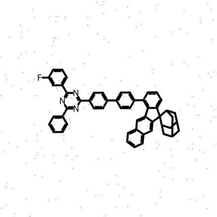 Fc1cccc(-c2nc(-c3ccccc3)nc(-c3ccc(-c4ccc(-c5cccc6c5-c5cc7ccccc7cc5C65C6CC7CC(C6)CC5C7)cc4)cc3)n2)c1